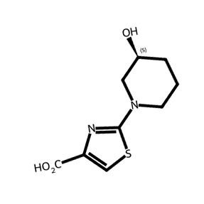 O=C(O)c1csc(N2CCC[C@H](O)C2)n1